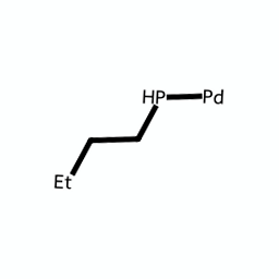 CCCC[PH][Pd]